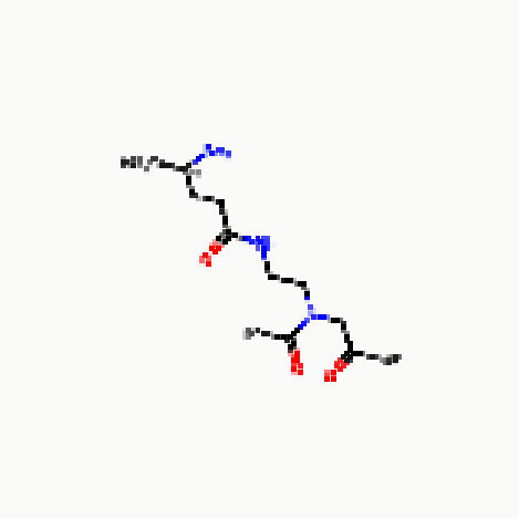 CC(C)C(=O)CN(CCNC(=O)CC[C@H](N)C(=O)O)C(=O)C(C)C